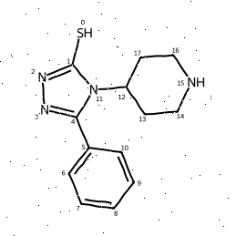 Sc1nnc(-c2ccccc2)n1C1CCNCC1